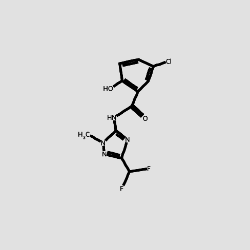 Cn1nc(C(F)F)nc1NC(=O)c1cc(Cl)ccc1O